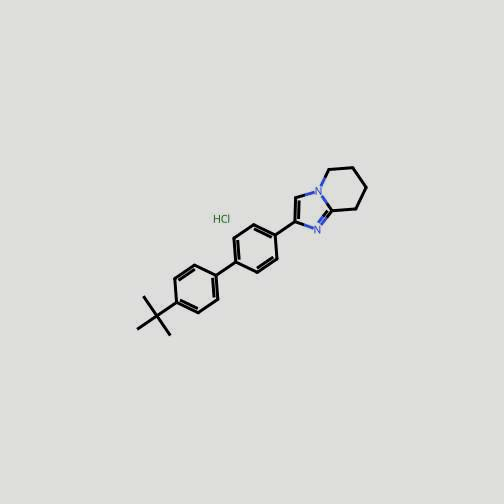 CC(C)(C)c1ccc(-c2ccc(-c3cn4c(n3)CCCC4)cc2)cc1.Cl